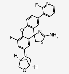 NC1=NC2(CS1)c1cc(-c3cccnc3F)ccc1Oc1c(F)cc(N3C[C@@H]4C[C@H]3CO4)cc12